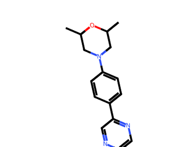 CC1CN(c2ccc(-c3cnccn3)cc2)CC(C)O1